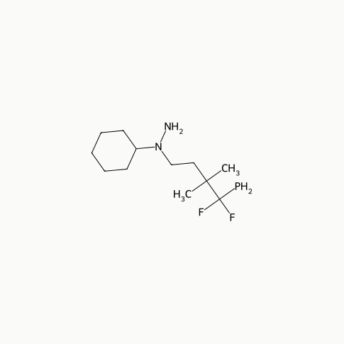 CC(C)(CCN(N)C1CCCCC1)C(F)(F)P